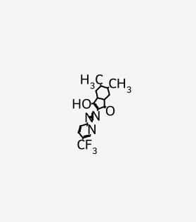 CC1CC2C(=O)C(N=Nc3ccc(C(F)(F)F)cn3)=C(O)C2CC1C